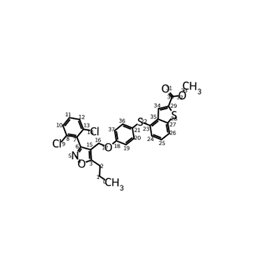 CCCc1onc(-c2c(Cl)cccc2Cl)c1COc1ccc(Sc2cccc3sc(C(=O)OC)cc23)cc1